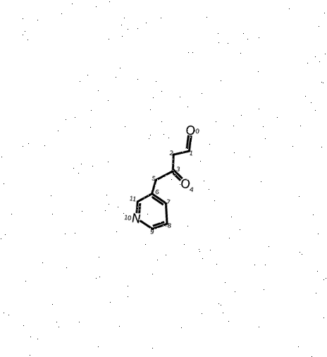 O=CCC(=O)Cc1cccnc1